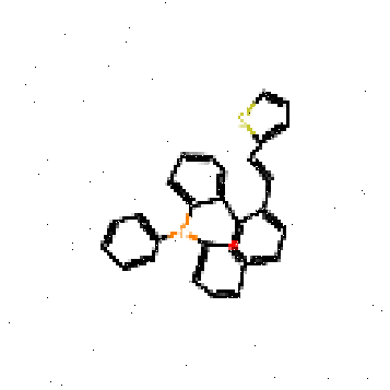 C(=Cc1ccccc1-c1ccccc1P(c1ccccc1)c1ccccc1)c1cccs1